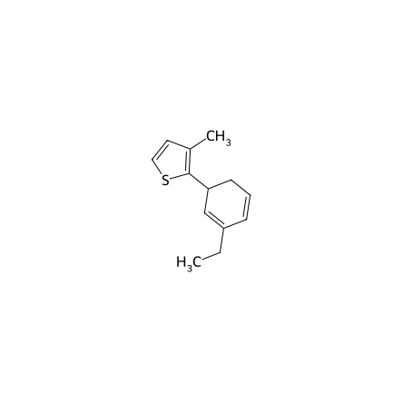 CCC1=CC(c2sccc2C)CC=C1